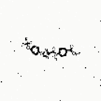 O=C(O)c1ccc(NC(=O)c2ncn(-c3ccc(OC(F)(F)F)cc3)n2)cc1